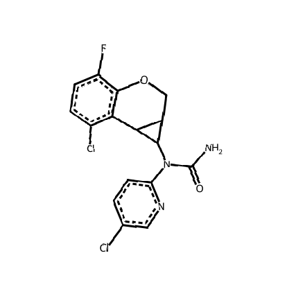 NC(=O)N(c1ccc(Cl)cn1)C1C2COc3c(F)ccc(Cl)c3C21